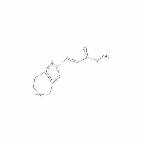 COC(=O)/C=C/c1cc2c(s1)CCNC2